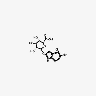 O=C(O)[C@H]1OC(Oc2cc3c(Cl)c(Br)ccc3[nH]2)[C@H](O)[C@@H](O)[C@@H]1O